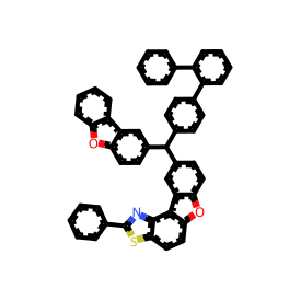 c1ccc(-c2nc3c(ccc4oc5ccc(C(c6ccc(-c7ccccc7-c7ccccc7)cc6)c6ccc7oc8ccccc8c7c6)cc5c43)s2)cc1